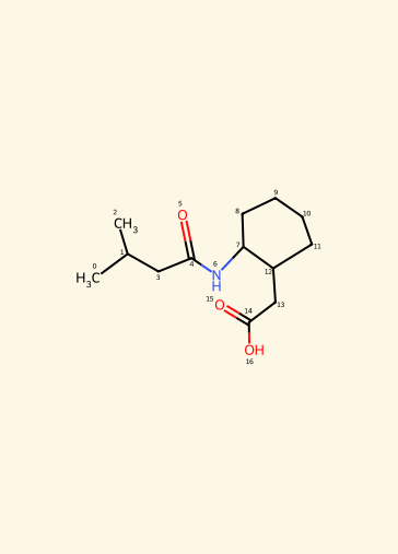 CC(C)CC(=O)NC1CCCCC1CC(=O)O